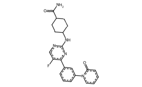 NC(=O)C1CCC(Nc2ncc(F)c(-c3cccc(-n4ccccc4=O)c3)n2)CC1